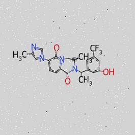 Cc1cn(-c2ccc3n(c2=O)C[C@@H](C)N(C(C)c2cc(O)cc(C(F)(F)F)c2)C3=O)cn1